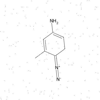 CC1=CC(N)=CCC1=[N+]=[N-]